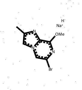 COc1nc(Br)cn2cc(C)nc12.[H-].[Na+]